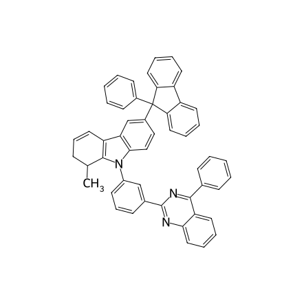 CC1CC=Cc2c1n(-c1cccc(-c3nc(-c4ccccc4)c4ccccc4n3)c1)c1ccc(C3(c4ccccc4)c4ccccc4-c4ccccc43)cc21